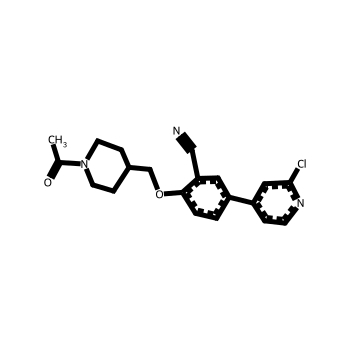 CC(=O)N1CCC(COc2ccc(-c3ccnc(Cl)c3)cc2C#N)CC1